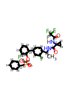 C[C@@H](NC(=O)C1(NC(=O)C(F)(F)F)CC1)c1ccc(-c2cccc(F)c2OS(=O)(=O)Cc2ccccc2)cc1F